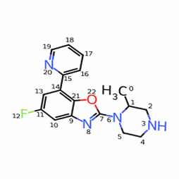 CC1CNCCN1c1nc2cc(F)cc(-c3ccccn3)c2o1